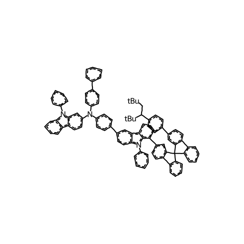 CC(C)(C)CC(c1ccc(-c2ccc3c(c2)C2(c4ccccc4-3)c3ccccc3-c3ccc(-c4cccc5c6cc(-c7ccc(N(c8ccc(-c9ccccc9)cc8)c8ccc9c%10ccccc%10n(-c%10ccccc%10)c9c8)cc7)ccc6n(-c6ccccc6)c45)cc32)cc1)C(C)(C)C